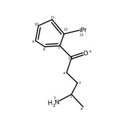 CC(N)CCC(=O)c1ccccc1C(C)C